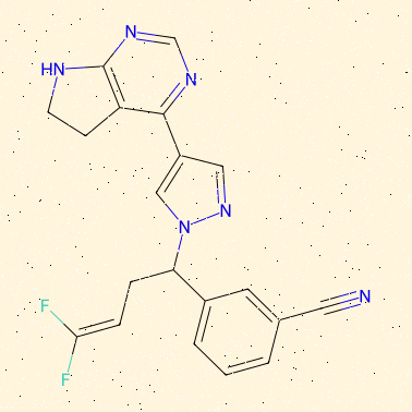 N#Cc1cccc(C(CC=C(F)F)n2cc(-c3ncnc4c3CCN4)cn2)c1